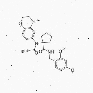 C#CC(=O)N(c1ccc2c(c1)N(C)CCO2)C1(C(=O)NCc2ccc(OC)cc2OC)CCCC1